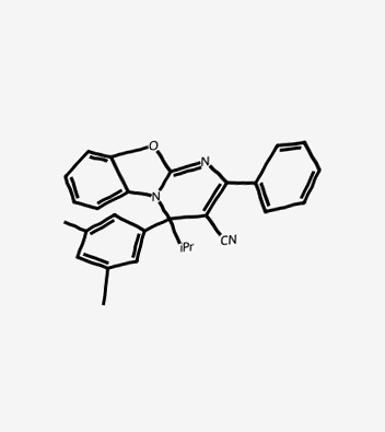 Cc1cc(C)cc(C2(C(C)C)C(C#N)=C(c3ccccc3)N=C3Oc4ccccc4N32)c1